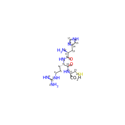 N=C(N)NCCC[C@H](NC(=O)[C@@H](N)Cc1c[nH]cn1)C(=O)N[C@@H](CS)C(=O)O